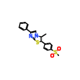 Cc1c(-c2ccc(S(C)(=O)=O)cc2)sc2nc(-c3ccccc3)cn12